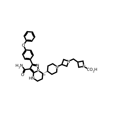 NC(=O)c1c(-c2ccc(Oc3ccccc3)cc2)nn2c1NCC[C@H]2C1CCN(C2CN(CC3CN(C(=O)O)C3)C2)CC1